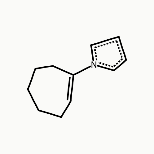 C1=C(n2cccc2)CCCCC1